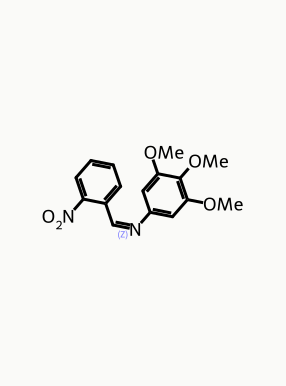 COc1cc(/N=C\c2ccccc2[N+](=O)[O-])cc(OC)c1OC